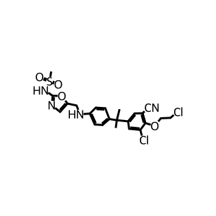 CC(C)(c1ccc(NCc2cnc(NS(C)(=O)=O)o2)cc1)c1cc(Cl)c(OCCCl)c(C#N)c1